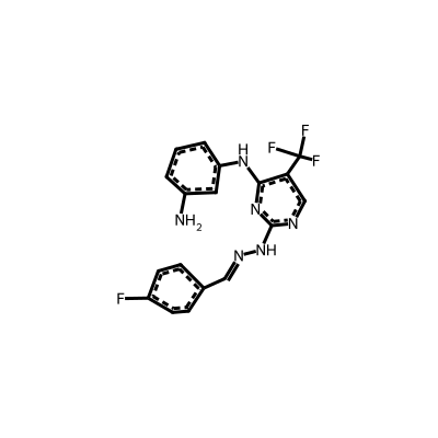 Nc1cccc(Nc2nc(NN=Cc3ccc(F)cc3)ncc2C(F)(F)F)c1